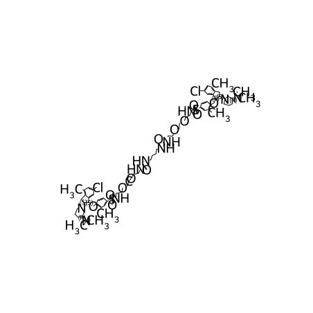 Cc1cc(S(=O)(=O)NCCOCCOCCNC(=O)NCCCCNC(=O)NCCOCCOCCNS(=O)(=O)c2ccc(O[C@H]3c4cc(Cl)cc(C)c4C[C@@H]3N3CCC[C@@H](N(C)C)C3)c(C)c2)ccc1O[C@H]1c2cc(Cl)cc(C)c2C[C@@H]1N1CCC[C@@H](N(C)C)C1